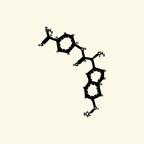 COc1ccc2cc([C@H](C)C(=O)Oc3ccc(C(N)=S)cc3)ccc2c1